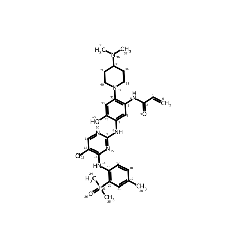 C=CC(=O)Nc1cc(Nc2ncc(Cl)c(Nc3ccc(C)cc3P(C)(C)=O)n2)c(O)cc1N1CCC(N(C)C)CC1